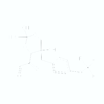 CC1(C)OCC(C)(Cc2ccc(OC(F)(F)F)cc2)C(C(=O)C=O)O1